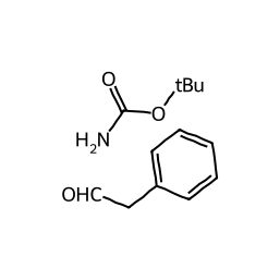 CC(C)(C)OC(N)=O.O=CCc1ccccc1